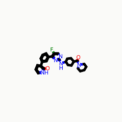 O=C(C1CCC(Nc2ncc(F)c(-c3cccc(-c4ccc[nH]c4=O)c3)n2)CC1)N1CCCCC1